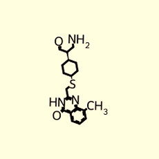 Cc1cccc2c(=O)[nH]c(CS[C@H]3CC[C@H](C(C=O)CN)CC3)nc12